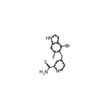 NC(=S)c1cc(Cc2c(F)cc3[nH]ccc3c2Br)ccn1